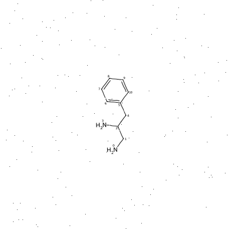 NC[C](N)Cc1ccccc1